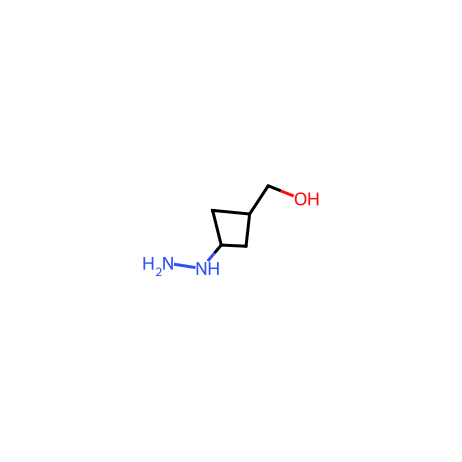 NNC1CC(CO)C1